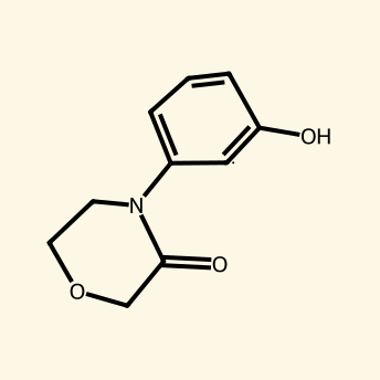 O=C1COCCN1c1[c]c(O)ccc1